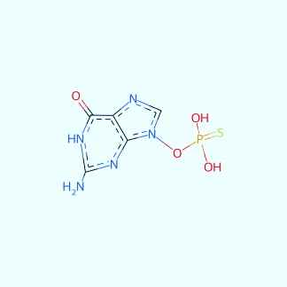 Nc1nc2c(ncn2OP(O)(O)=S)c(=O)[nH]1